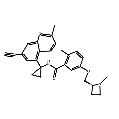 C#Cc1cc(C2(NC(=O)c3cc(OC[C@@H]4CCN4C)ccc3C)CC2)c2ccc(C)nc2c1